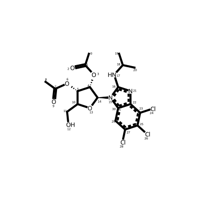 CC(=O)O[C@H]1[C@@H](OC(C)=O)C(CO)O[C@@H]1n1c(NC(C)C)nc2c(Cl)c(Cl)c(Cl)cc21